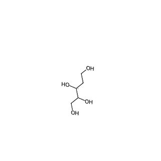 OCC[C](O)C(O)CO